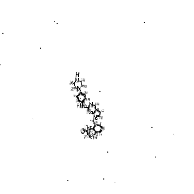 CN(c1c(Cl)cccc1Cn1ccc2cnc(Nc3ccc(N4CCNCC4)cc3)nc21)S(C)(=O)=O